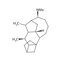 CN[C@H]1CCCC2[C@H]3CC1C(C)C3[C@H](C)C1C3CCC12C3